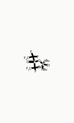 CCCCP(CC)(CCCC)(CCCC)OP(=O)(C(F)(F)C(F)(F)F)C(F)(F)C(F)(F)F